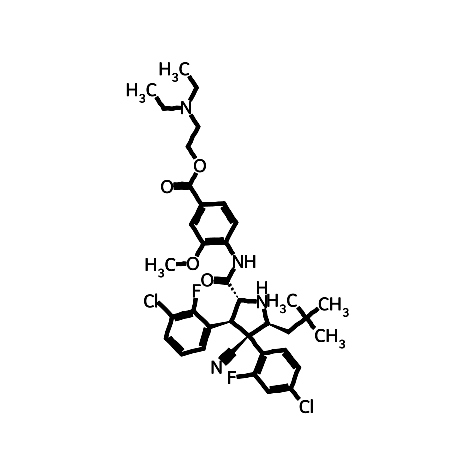 CCN(CC)CCOC(=O)c1ccc(NC(=O)[C@@H]2N[C@@H](CC(C)(C)C)[C@](C#N)(c3ccc(Cl)cc3F)[C@H]2c2cccc(Cl)c2F)c(OC)c1